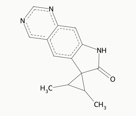 CC1C(C)C12C(=O)Nc1cc3ncncc3cc12